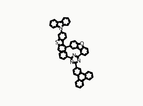 c1ccc(-c2nc(-c3ccc4c5ccccc5c5ccccc5c4c3)nc(-c3cccc4oc5ccc(-c6cccc7sc8cc(-n9c%10ccccc%10c%10ccccc%109)ccc8c67)cc5c34)n2)cc1